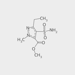 CCc1nn(C)c(C(=O)OC)c1S(N)(=O)=O